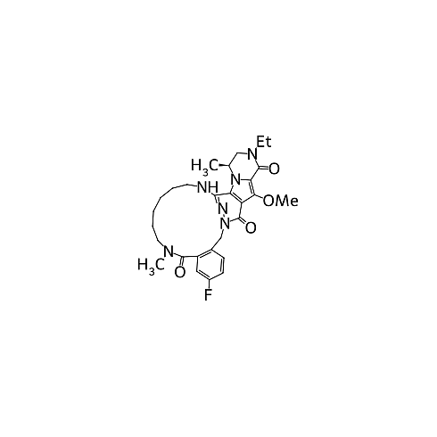 CCN1C[C@H](C)n2c(c(OC)c3c(=O)n4nc(c32)NCCCCCCN(C)C(=O)c2cc(F)ccc2C4)C1=O